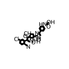 COc1c(-c2cc(Cl)ccc2C#N)c[n+]([O-])c2c1CCC2(O)c1nc(-c2ccc(NC(=O)O)cc2)c[nH]1